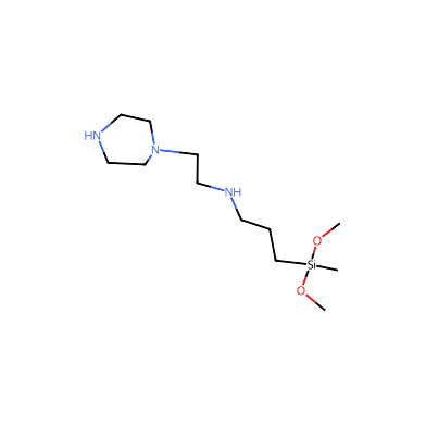 CO[Si](C)(CCCNCCN1CCNCC1)OC